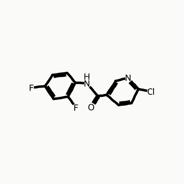 O=C(Nc1ccc(F)cc1F)c1ccc(Cl)nc1